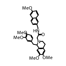 COc1ccc2cc(CNC(=O)CN3CCc4cc(OC)c(OC)cc4C3Cc3ccc(OC)c(OC)c3)ccc2c1